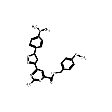 COc1ccc(CNC(=O)c2cc(C3=NOC(c4ccc(N(C)C)cc4)C3)nc(C)n2)cc1